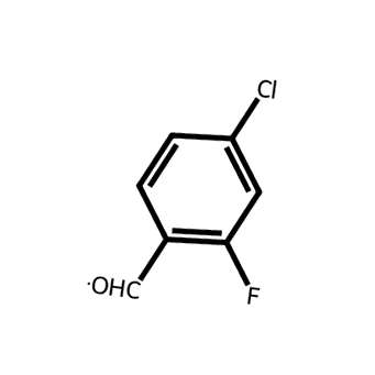 O=[C]c1ccc(Cl)cc1F